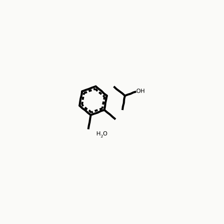 CC(C)O.Cc1ccccc1C.O